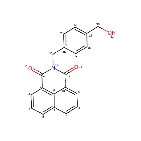 O=C1c2cccc3cccc(c23)C(=O)N1Cc1ccc(CO)cc1